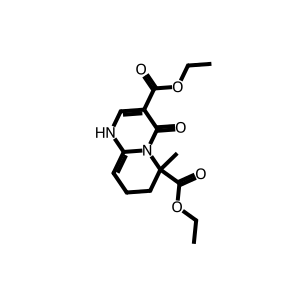 CCOC(=O)C1=CNC2=CCCC(C)(C(=O)OCC)N2C1=O